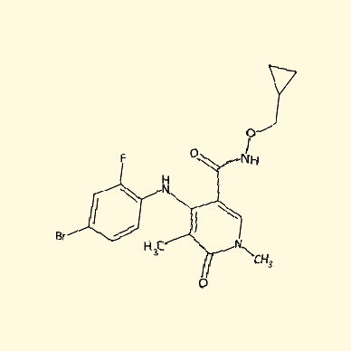 Cc1c(Nc2ccc(Br)cc2F)c(C(=O)NOCC2CC2)cn(C)c1=O